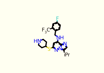 CC(C)c1cnc2c(NCc3ccc(F)cc3C(F)(F)F)cc(SC3CCNCC3)nn12